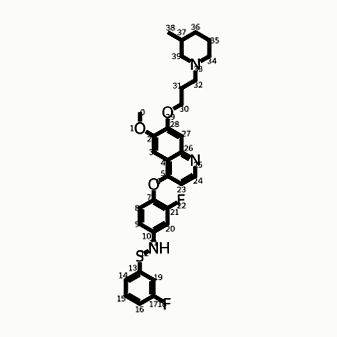 COc1cc2c(Oc3ccc(NSc4cccc(F)c4)cc3F)ccnc2cc1OCCCN1CCCC(C)C1